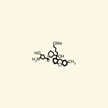 COCCCCC(O)(c1cccc(Cl)c1Cc1cccc(C)c1)C1CCCN(C(=O)C2CC(N)C(O)C2)C1